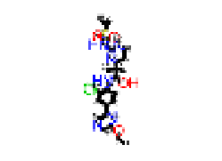 CCOc1cncc(-c2ccc(NC(O)C(C)(C)c3ccnc(NS(=O)(=O)C4CC4)n3)c(Cl)c2)n1